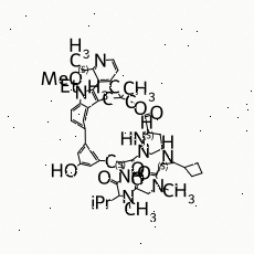 CCn1c(-c2cccnc2[C@H](C)OC)c2c3cc(ccc31)-c1cc(O)cc(c1)C[C@H](NC(=O)C(C(C)C)N(C)C(=O)CN(C)C(=O)[C@H]1NC1C1CCC1)C(=O)N1CCC[C@H](N1)C(=O)OCC(C)(C)C2